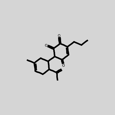 C=C(C)C1CC=C(C)CC1C1C(=O)C=C(CCC)C(=O)C1=O